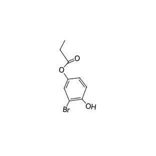 CCC(=O)Oc1ccc(O)c(Br)c1